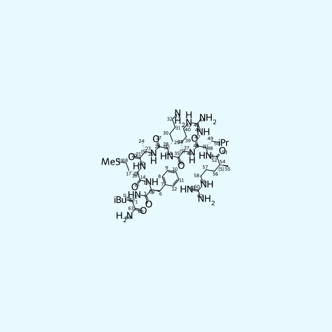 CC[C@H](C)[C@H](NC(=O)[C@H](Cc1ccccc1)NC(=O)[C@H](CCSC)NC(=O)[C@H](C)NC(=O)[C@H](CCCCN)NC(=O)[C@H](CCCNC(=N)N)NC(=O)[C@H](CC(C)C)NC(=O)[C@@H](C)CCCNC(=N)N)C(N)=O